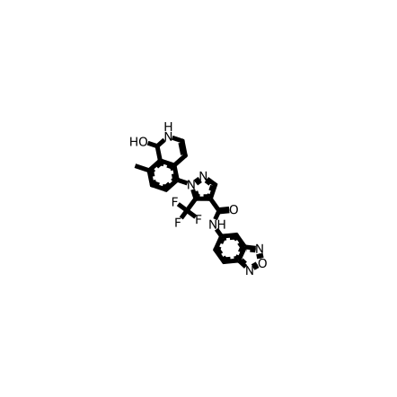 Cc1ccc(-n2ncc(C(=O)Nc3ccc4nonc4c3)c2C(F)(F)F)c2c1C(O)NC=C2